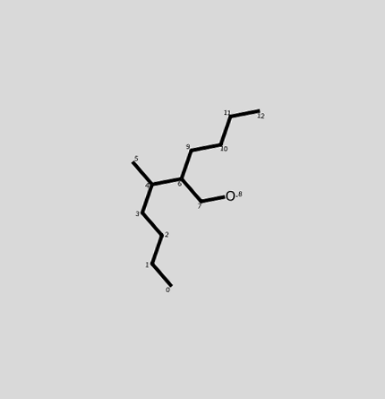 CCCCC(C)C(C[O])CCCC